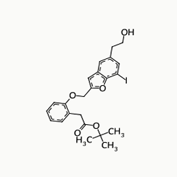 CC(C)(C)OC(=O)Cc1ccccc1OCc1cc2cc(CCO)cc(I)c2o1